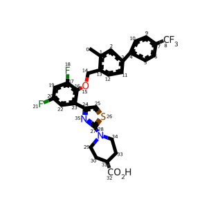 Cc1cc(-c2ccc(C(F)(F)F)cc2)ccc1COc1c(F)cc(F)cc1-c1csc(N2CCC(C(=O)O)CC2)n1